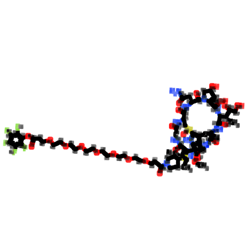 CC[C@H](C)[C@@H]1NC(=O)CNC(=O)[C@@H]2Cc3c([nH]c4c(CSC5CCN(C(=O)CCOCCOCCOCCOCCOCCOCCOCCC(=O)Oc6c(F)c(F)c(F)c(F)c6F)CC5)c(OC)ccc34)[S+]([O-])CC(NC(=O)CNC1=O)C(=O)N[C@@H](CC(N)=O)C(=O)N1C[C@H](O)C[C@H]1C(=O)NC([C@@H](C)C(O)CO)C(=O)N2